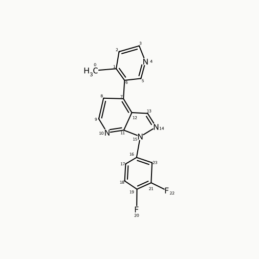 Cc1ccncc1-c1ccnc2c1cnn2-c1ccc(F)c(F)c1